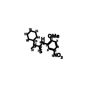 COc1ccc([N+](=O)[O-])cc1NC(=S)N(C)C1CCCCC1